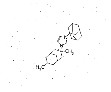 CC1CC2CC(C1)CC(C)(N1C=CN(C34CC5CC(CC(C5)C3)C4)C1)C2